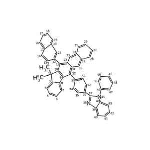 CC1(C)c2ccccc2-c2c1c(-c1ccc3ccccc3c1)c1cc3ccccc3cc1c2-c1ccc(-c2nc3ccccc3n2-c2ccccc2)cc1